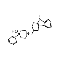 Cn1c2c(c3ccccc31)CC(CN1CCC(O)(c3ccccc3)CC1)CC2